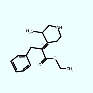 CCOC(=O)/C(Cc1ccccc1)=C1\CCNCC1C